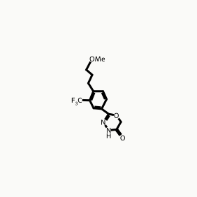 COCCCc1ccc(C2=NNC(=O)CO2)cc1C(F)(F)F